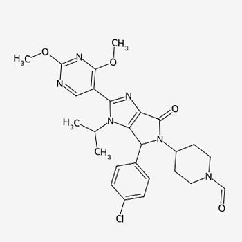 COc1ncc(-c2nc3c(n2C(C)C)C(c2ccc(Cl)cc2)N(C2CCN(C=O)CC2)C3=O)c(OC)n1